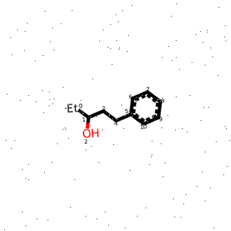 C[CH]C(O)CCc1ccccc1